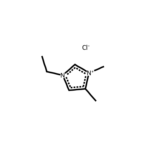 CCn1cc(C)[n+](C)c1.[Cl-]